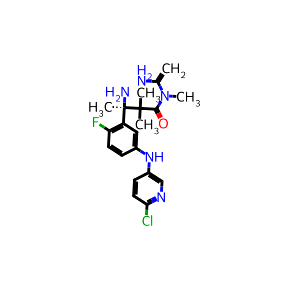 C=C(N)N(C)C(=O)C(C)(C)[C@](C)(N)c1cc(Nc2ccc(Cl)nc2)ccc1F